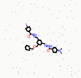 CN(C)c1ccc(C(=O)N/N=C/c2cc(/C=N/NC(=O)c3ccc(I)cc3)cc(COCc3ccccc3)c2)cc1